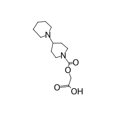 O=C(O)COC(=O)N1CCC(N2CCCCC2)CC1